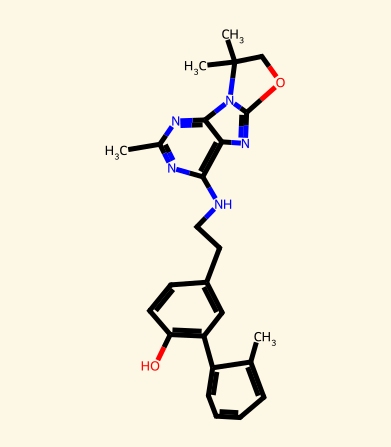 Cc1nc(NCCc2ccc(O)c(-c3ccccc3C)c2)c2nc3n(c2n1)C(C)(C)CO3